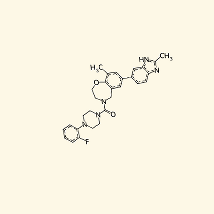 Cc1nc2ccc(-c3cc(C)c4c(c3)CN(C(=O)N3CCN(c5ccccc5F)CC3)CCO4)cc2[nH]1